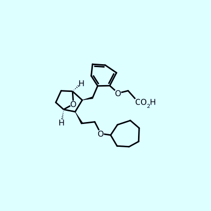 O=C(O)COc1ccccc1C[C@H]1[C@@H](CCOC2CCCCCC2)[C@H]2CC[C@@H]1O2